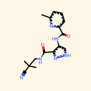 Cc1cccc(C(=O)Nc2c[nH]nc2C(=O)NCC(C)(C)C#N)n1